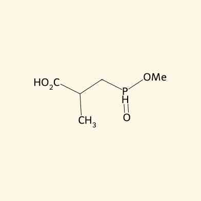 CO[PH](=O)CC(C)C(=O)O